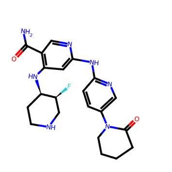 NC(=O)c1cnc(Nc2ccc(N3CCCCC3=O)cn2)cc1N[C@@H]1CCNC[C@@H]1F